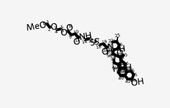 COCCOCCOC(=O)CCC(=O)NCCSSCCC(=O)N1C[C@@H](C)C[C@H]2O[C@]3(CC[C@@H]4C(=C3C)C[C@H]3[C@H]4CC=C4C[C@@H](O)CC[C@@]43C)[C@H](C)[C@@H]21